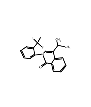 CC(C)c1cn(-c2ccccc2C(F)(F)F)c(=O)c2ccccc12